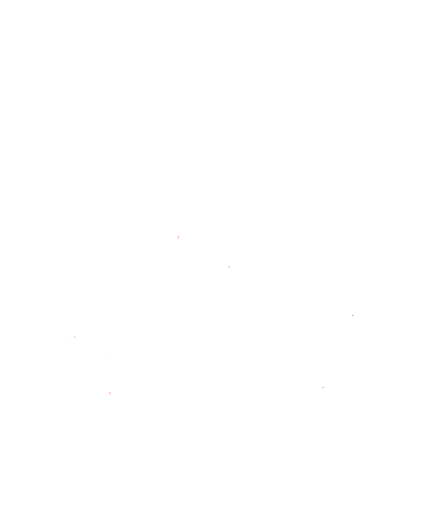 CCCC=CCC1(c2ccc3c(c2)C(C)(C)CCC3(C)C)COc2cc(C(=O)OC)ccc21